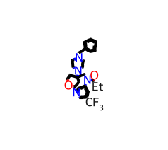 CCC(=O)N(CC1(N2CCN(Cc3ccccc3)CC2)CCOCC1)c1cncc(C(F)(F)F)c1